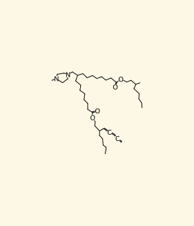 C=C=C=C=CC(CCCCC)CCOC(=O)CCCCCCCC(CCCCCCCC(=O)OCCC(C)CCCCC)CN1CCN(C)CC1